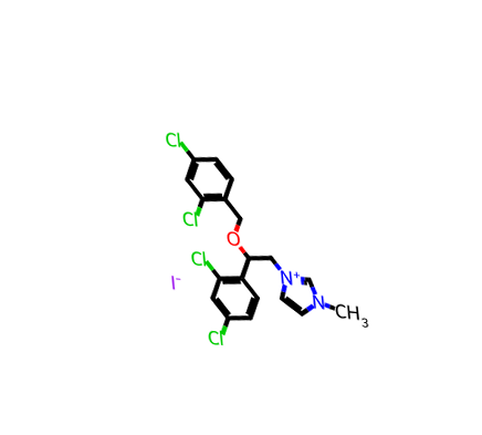 Cn1cc[n+](CC(OCc2ccc(Cl)cc2Cl)c2ccc(Cl)cc2Cl)c1.[I-]